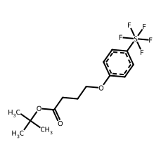 CC(C)(C)OC(=O)CCCOc1ccc(S(F)(F)(F)(F)F)cc1